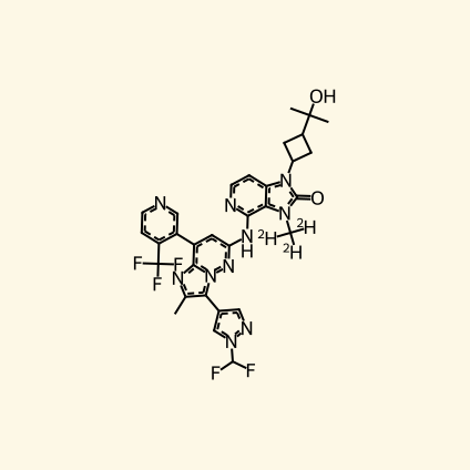 [2H]C([2H])([2H])n1c(=O)n(C2CC(C(C)(C)O)C2)c2ccnc(Nc3cc(-c4cnccc4C(F)(F)F)c4nc(C)c(-c5cnn(C(F)F)c5)n4n3)c21